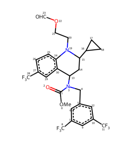 COC(=O)N(Cc1cc(C(F)(F)F)cc(C(F)(F)F)c1)C1CC(C2CC2)N(CCOC=O)c2ccc(C(F)(F)F)cc21